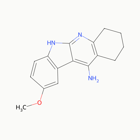 COc1ccc2[nH]c3nc4c(c(N)c3c2c1)CCCC4